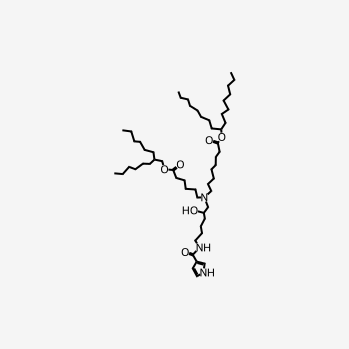 CCCCCCCCC(CCCCCCCC)OC(=O)CCCCCCCN(CCCCCC(=O)OCC(CCCCCC)CCCCCC)CC(O)CCCCNC(=O)c1cc[nH]c1